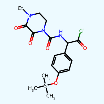 CCN1CCN(C(=O)NC(C(=O)Cl)c2ccc(O[Si](C)(C)C)cc2)C(=O)C1=O